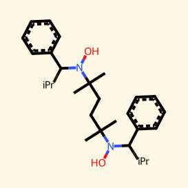 CC(C)C(c1ccccc1)N(O)C(C)(C)CCC(C)(C)N(O)C(c1ccccc1)C(C)C